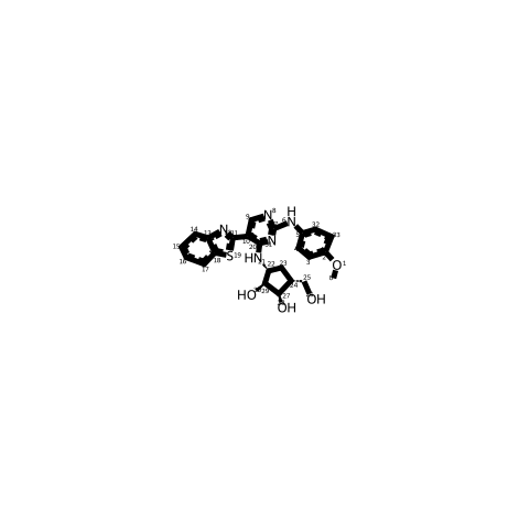 COc1ccc(Nc2ncc(-c3nc4ccccc4s3)c(N[C@@H]3C[C@H](CO)[C@@H](O)[C@H]3O)n2)cc1